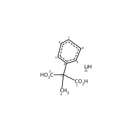 CC(C(=O)O)(C(=O)O)c1ccccc1.[LiH]